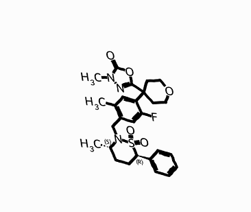 Cc1cc(C2(c3nn(C)c(=O)o3)CCOCC2)c(F)cc1CN1[C@@H](C)CC[C@H](c2ccccc2)S1(=O)=O